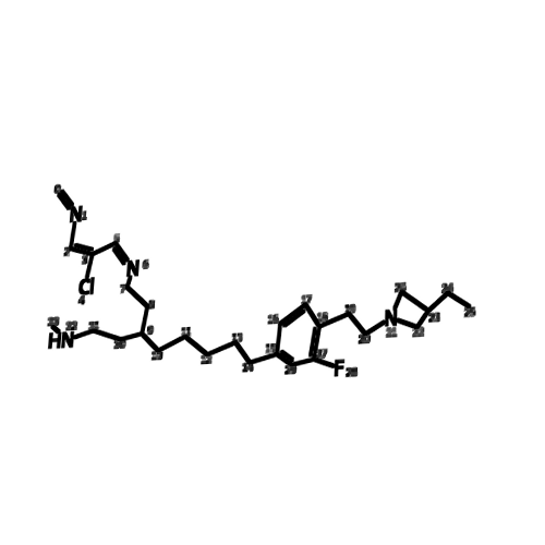 C=N/C=C(Cl)\C=N/CCC(CCCCCc1ccc(CCN2CC(CC)C2)c(F)c1)CCNC